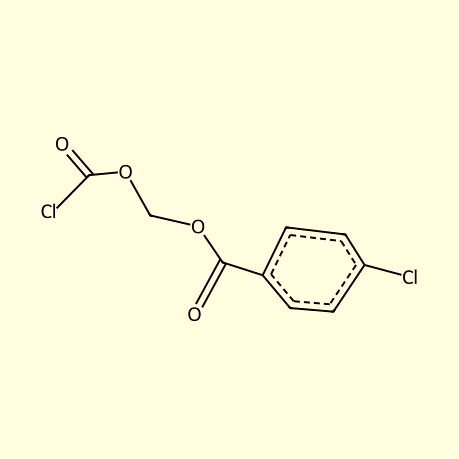 O=C(Cl)OCOC(=O)c1ccc(Cl)cc1